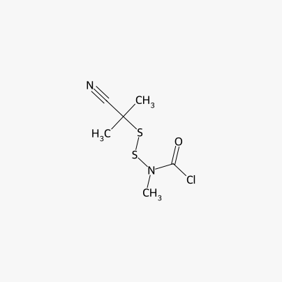 CN(SSC(C)(C)C#N)C(=O)Cl